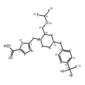 O=C(O)c1cnc(CN2CCN(Cc3ccc(C(F)(F)F)cc3)CC2COC(F)F)s1